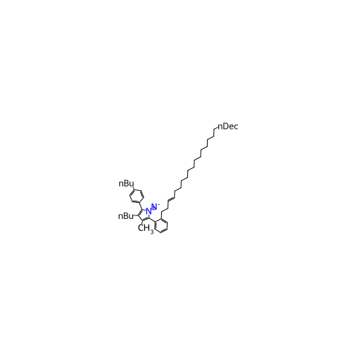 CCCCCCCCCCCCCCCCCCCCCCCC=CCCc1ccccc1C1=C(C)C(CCCC)=C(c2ccc(CCCC)cc2)[N+]1=[N-]